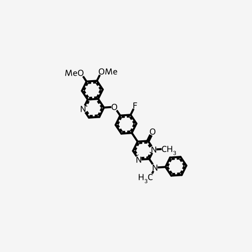 COc1cc2nccc(Oc3ccc(-c4cnc(N(C)c5ccccc5)n(C)c4=O)cc3F)c2cc1OC